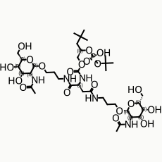 CC(=O)N[C@H]1[C@H](OCCCNC(=O)C[C@H](NC(=O)OC[C@@H](CC(C)(C)C)OP(=O)(O)OC(C)(C)C)C(=O)NCCCO[C@@H]2O[C@H](CO)[C@H](O)[C@H](O)[C@H]2NC(C)=O)O[C@H](CO)[C@H](O)[C@@H]1O